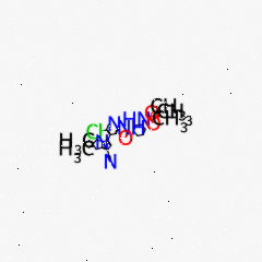 CC1(C)Cc2c(C#N)cc(-c3cc(NC(=O)[C@H]4CCC[C@@H](NC(=O)OC(C)(C)C)C4)ncc3Cl)n2C1